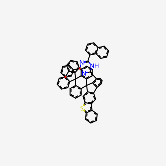 c1ccc(C2=NC(c3cccc4c3C3(c5cc6sc7ccccc7c6cc5-4)c4ccccc4C4(c5ccccc5-c5ccccc54)c4ccccc43)NC(c3cccc4ccccc34)=N2)cc1